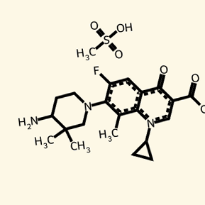 CS(=O)(=O)O.Cc1c(N2CCC(N)C(C)(C)C2)c(F)cc2c(=O)c(C(=O)O)cn(C3CC3)c12